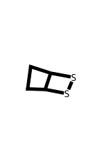 C1CC2SSC12